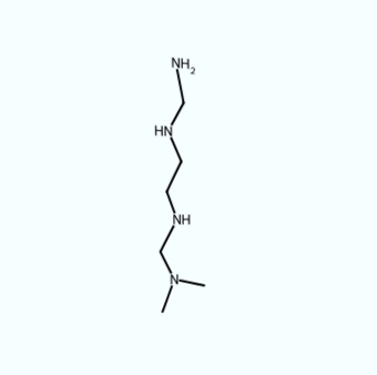 CN(C)CNCCNCN